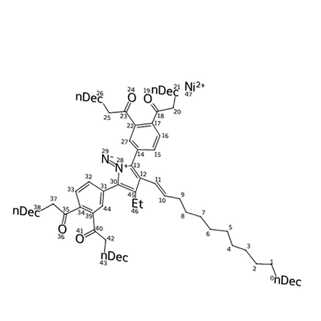 CCCCCCCCCCCCCCCCCCC/C=C/C1=C(c2ccc(C(=O)CCCCCCCCCCC)c(C(=O)CCCCCCCCCCC)c2)[N+](=[N-])C(c2ccc(C(=O)CCCCCCCCCCC)c(C(=O)CCCCCCCCCCC)c2)=C1CC.[Ni+2]